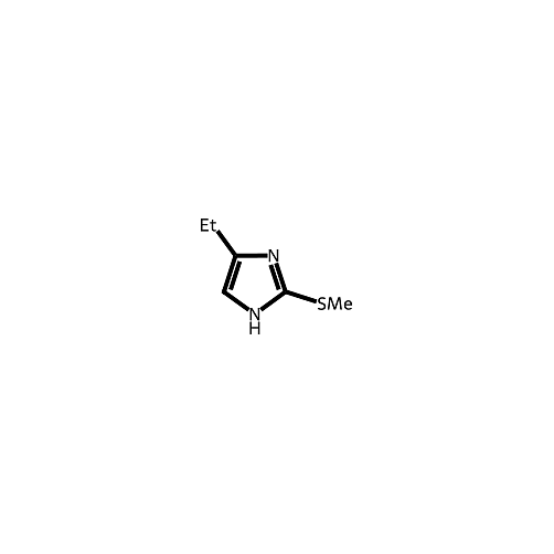 [CH2]Cc1c[nH]c(SC)n1